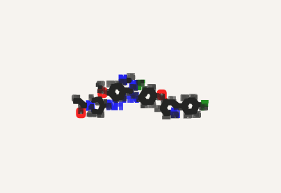 C=CC(=O)N1CCC(Nc2cc3c(Nc4ccc(Oc5ccnc(-c6ccc(F)cc6)c5)cc4F)ncnc3cc2OC)CC1